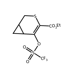 CCOC(=O)C1=C(OS(=O)(=O)C(F)(F)F)C2CC2CS1